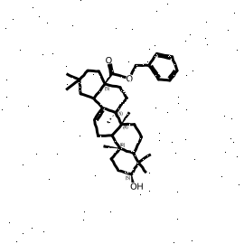 CC1(C)CC[C@]2(C(=O)OCc3ccccc3)CC[C@]3(C)C(=CCC4[C@@]5(C)CC[C@H](O)C(C)(C)C5CC[C@]43C)C2C1